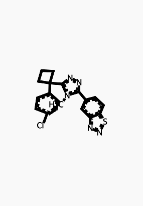 Cn1c(-c2ccc3snnc3c2)nnc1C1(c2ccc(Cl)cc2)CCC1